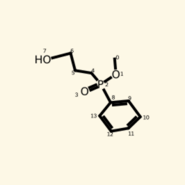 COP(=O)(CCCO)c1ccccc1